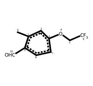 Cc1cc(OCC(F)(F)F)ccc1C=O